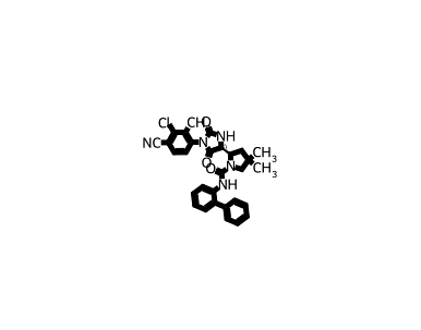 Cc1c(N2C(=O)N[C@@H](C3CC(C)(C)CN3C(=O)Nc3ccccc3-c3ccccc3)C2=O)ccc(C#N)c1Cl